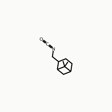 CC1(C)C2CCC(CN=C=O)C1C2